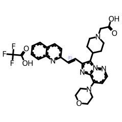 O=C(O)C(F)(F)F.O=C(O)CN1CCC(c2c(/C=C/c3ccc4ccccc4n3)nc3c(N4CCOCC4)ccnn23)CC1